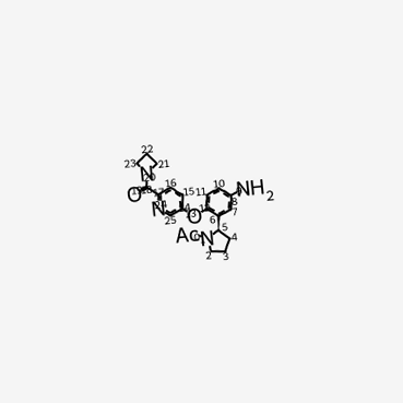 CC(=O)N1CCC[C@@H]1c1cc(N)ccc1Oc1ccc(C(=O)N2CCC2)nc1